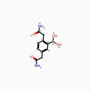 NC(=O)Cc1ccc(CC(N)=O)c(B(O)O)c1